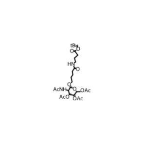 CC(=O)NC1[C@H](OCCCCC(=O)NCCCC(=O)OC(C)(C)C)OC(COC(C)=O)[C@H](OC(C)=O)[C@@H]1OC(C)=O